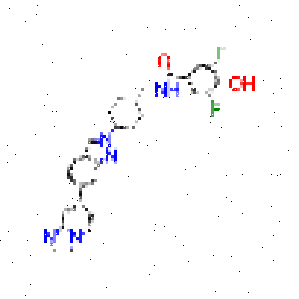 O=C(NC[C@H]1CC[C@H](n2cc3ccc(C4=CC5=NCCN5C=C4)cc3n2)CC1)c1cc(F)c(O)c(F)c1